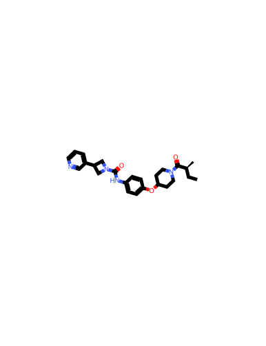 CC[C@H](C)C(=O)N1CCC(Oc2ccc(NC(=O)N3CC(c4cccnc4)C3)cc2)CC1